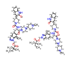 CCC(C)(C)C(=O)OCn1cc2cc(C[C@@H](NC(=O)N3CCC(c4cc5ccccc5[nH]c4=O)CC3)C(=O)N3CCN(C4CCN(C)CC4)CC3)cc(C)c2n1.CCC(C)(C)C(=O)OCn1ncc2cc(C[C@@H](NC(=O)N3CCC(c4cc5ccccc5[nH]c4=O)CC3)C(=O)N3CCN(C4CCN(C)CC4)CC3)cc(C)c21